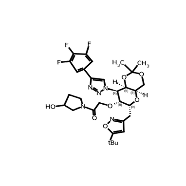 CC1(C)OC[C@H]2O[C@H](Cc3cc(C(C)(C)C)on3)[C@H](OCC(=O)N3CCC(O)C3)[C@@H](n3cc(-c4cc(F)c(F)c(F)c4)nn3)[C@H]2O1